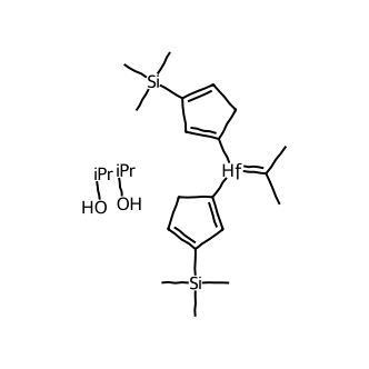 CC(C)O.CC(C)O.C[C](C)=[Hf]([C]1=CC([Si](C)(C)C)=CC1)[C]1=CC([Si](C)(C)C)=CC1